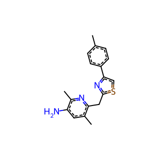 Cc1ccc(-c2csc(Cc3nc(C)c(N)cc3C)n2)cc1